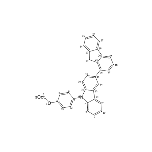 CCCCCCCCOc1ccc(-n2c3ccccc3c3cc(-c4cccc5c4Cc4ccccc4-5)ccc32)cc1